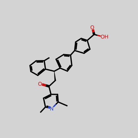 Cc1cc(C(=O)C[C@H](c2ccc(-c3ccc(C(=O)O)cc3)cc2)c2ccccc2C)cc(C)n1